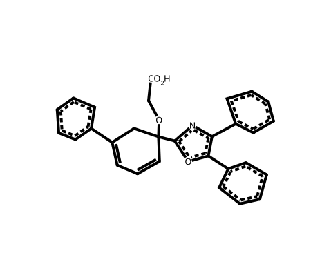 O=C(O)COC1(c2nc(-c3ccccc3)c(-c3ccccc3)o2)C=CC=C(c2ccccc2)C1